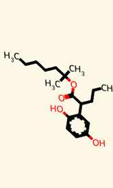 CCCCCC(C)(C)OC(=O)C(CCC)c1cc(O)ccc1O